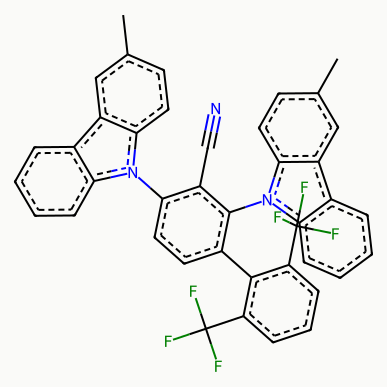 Cc1ccc2c(c1)c1ccccc1n2-c1ccc(-c2c(C(F)(F)F)cccc2C(F)(F)F)c(-n2c3ccccc3c3cc(C)ccc32)c1C#N